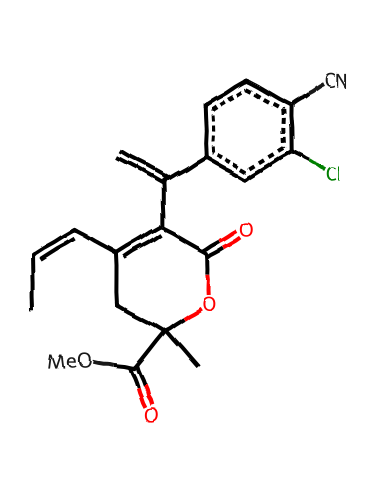 C=C(C1=C(/C=C\C)CC(C)(C(=O)OC)OC1=O)c1ccc(C#N)c(Cl)c1